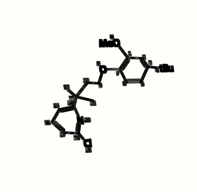 COc1cc(C(C)(C)C)ccc1OCCC(C)(C)c1cccc(Cl)n1